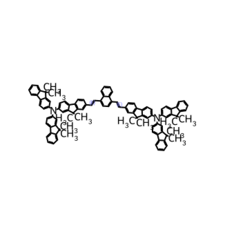 CC1(C)c2ccccc2-c2ccc(N(c3ccc4c(c3)C(C)(C)c3ccccc3-4)c3ccc4c(c3)C(C)(C)c3cc(/C=C/c5ccc(/C=C/c6ccc7c(c6)C(C)(C)c6cc(N(c8ccc9c(c8)C(C)(C)c8ccccc8-9)c8ccc9c(c8)C(C)(C)c8ccccc8-9)ccc6-7)c6ccccc56)ccc3-4)cc21